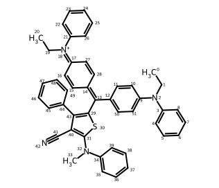 CCN(c1ccccc1)c1ccc(C(=C2C=CC(=[N+](CC)c3ccccc3)C=C2)c2sc(N(C)c3ccccc3)c(C#N)c2-c2ccccc2)cc1